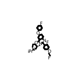 CC(C)N1CCC[C@H](Cn2c(-c3ccc(OCCF)cc3F)nc3ccc(Oc4ccc(F)cc4)cc3c2=O)C1